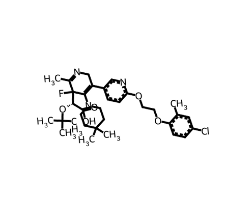 CC1=NCC(c2ccc(OCCOc3ccc(Cl)cc3C)nc2)=C(N2CCC(C)(C)CC2)C1(F)[C@@H](OC(C)(C)C)C(=O)O